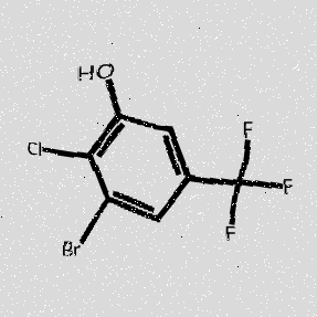 Oc1cc(C(F)(F)F)cc(Br)c1Cl